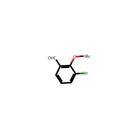 CCCCOc1c(Br)cccc1C=O